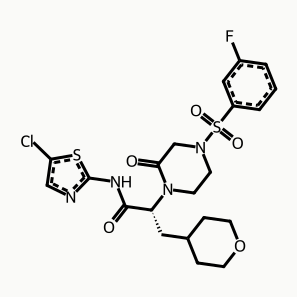 O=C(Nc1ncc(Cl)s1)[C@@H](CC1CCOCC1)N1CCN(S(=O)(=O)c2cccc(F)c2)CC1=O